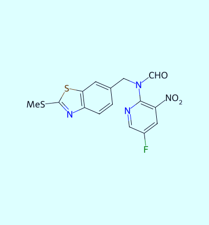 CSc1nc2ccc(CN(C=O)c3ncc(F)cc3[N+](=O)[O-])cc2s1